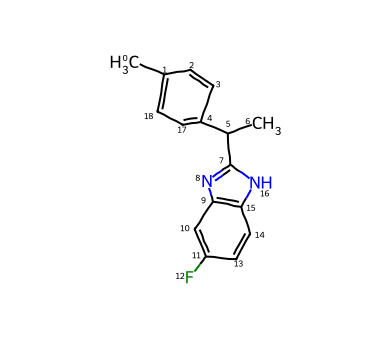 Cc1ccc(C(C)c2nc3cc(F)ccc3[nH]2)cc1